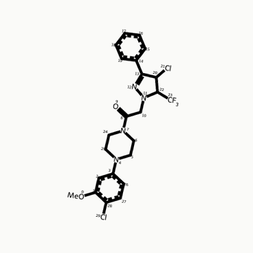 COc1cc(N2CCN(C(=O)CN3N=C(c4ccccc4)C(Cl)C3C(F)(F)F)CC2)ccc1Cl